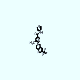 Cc1cc(C(=O)Nc2ccncc2)cnc1N1CCc2ncc(C(F)(F)F)cc2C1